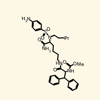 COC(=O)N[C@H](C(=O)NCCCCC(C(N)=O)N(CCC(C)C)S(=O)(=O)c1ccc(N)cc1)C(c1ccccc1)c1ccccc1